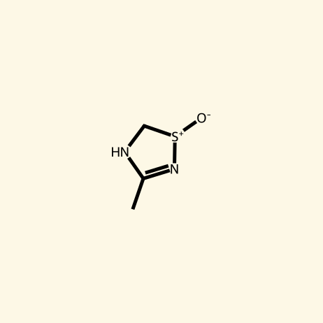 CC1=N[S+]([O-])CN1